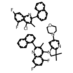 Cc1c(-c2cccc3ccccc23)nc2cc(F)cc(F)c2c1Cl.Cc1c(-c2cccc3ccccc23)nc2cc(F)cc(F)c2c1N1CC(C)(C)c2ncc(N3CCOCC3)cc21